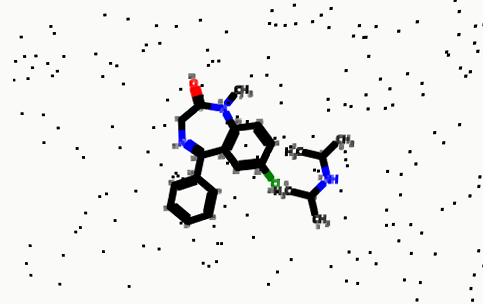 CC(C)NC(C)C.CN1C(=O)CN=C(c2ccccc2)c2cc(Cl)ccc21